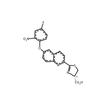 O=C(O)[C@H]1CSC(c2ccc3cc(Oc4ccc(F)cc4[N+](=O)[O-])ccc3n2)=N1